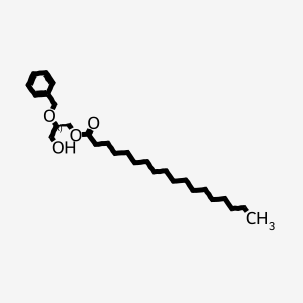 CCCCCCCCCCCCCCCCCC(=O)OC[C@@H](CO)OCc1ccccc1